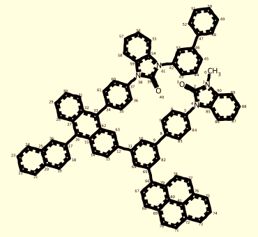 Cn1c(=O)n(-c2ccc(-c3cc(-c4ccc5c(-c6ccc7ccccc7c6)c6ccccc6c(-c6ccc(-n7c(=O)n(-c8cccc(-c9ccccc9)c8)c8ccccc87)cc6)c5c4)cc(-c4ccc5ccc6cccc7ccc4c5c67)c3)cc2)c2ccccc21